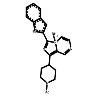 CC(=O)N1CCC(C2=C3C=NC=C[N+]3(N)C(c3cc4ccccc4[nH]3)=N2)CC1